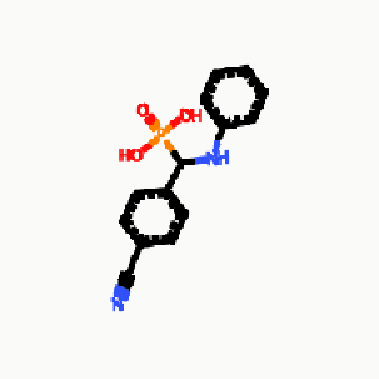 N#Cc1ccc(C(Nc2ccccc2)P(=O)(O)O)cc1